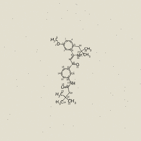 COc1ccc2c(c1)C(=CC(=O)c1cccc(NC(=O)CC(C)(C)C)c1)NC(C)(C)C2